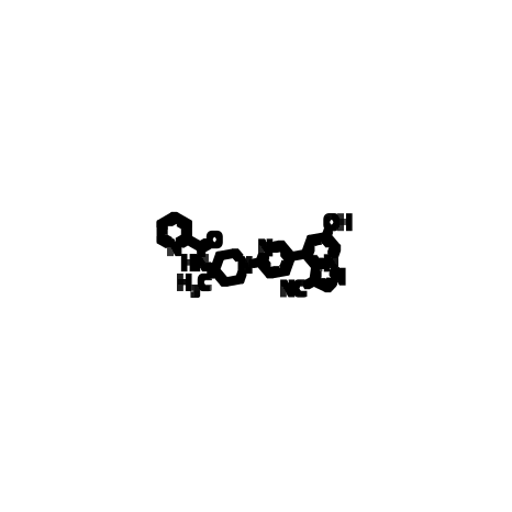 CC1(NC(=O)c2ccccn2)CCN(c2ccc(-c3cc(O)cn4ncc(C#N)c34)cn2)CC1